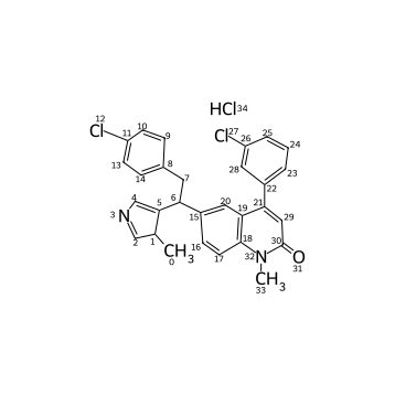 CC1C=NC=C1C(Cc1ccc(Cl)cc1)c1ccc2c(c1)c(-c1cccc(Cl)c1)cc(=O)n2C.Cl